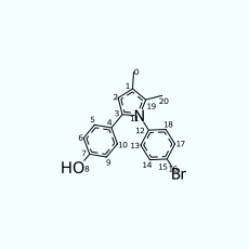 Cc1cc(-c2ccc(O)cc2)n(-c2ccc(Br)cc2)c1C